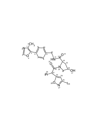 Cc1ncoc1-c1ccc(CNC(=O)C2CC(O)CN2C(=O)C(c2cc(I)no2)C(C)C)cc1